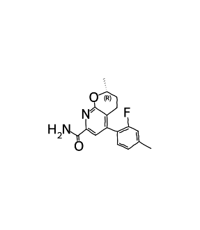 Cc1ccc(-c2cc(C(N)=O)nc3c2CC[C@@H](C)O3)c(F)c1